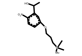 CC(O)c1cc(OCCC[Si](C)(C)C(C)(C)C)ccc1[N+](=O)[O-]